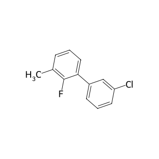 Cc1cccc(-c2cccc(Cl)c2)c1F